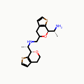 C[C@H](NCC1Cc2ccsc2[C@@H]([C@@H](C)N)O1)[C@@H]1OCCc2ccsc21